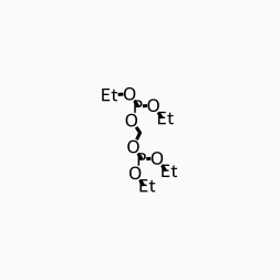 CCOP(OCC)OCOP(OCC)OCC